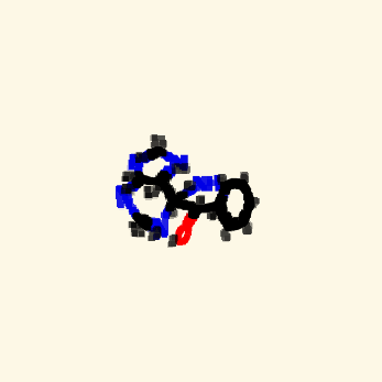 NC1(C(=O)c2ccccc2)N=CN=C2N=CN=C21